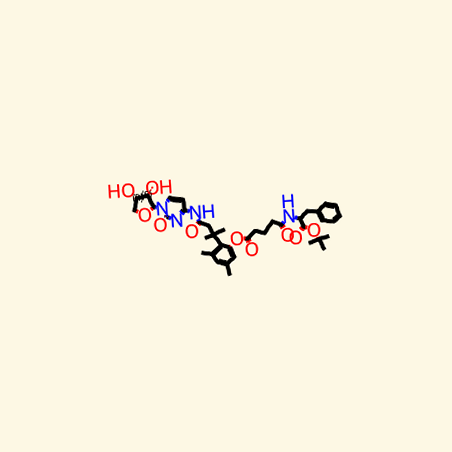 Cc1cc(C)c(C(C)(C)CC(=O)Nc2ccn(C3OC[C@@H](O)[C@@H]3O)c(=O)n2)c(OC(=O)CCCC(=O)NC(Cc2ccccc2)C(=O)OC(C)(C)C)c1